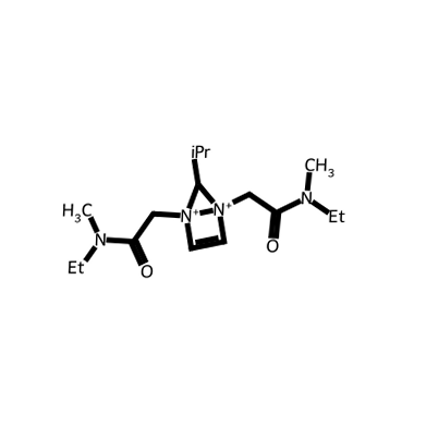 CCN(C)C(=O)C[N+]12C=C[N+]1(CC(=O)N(C)CC)C2C(C)C